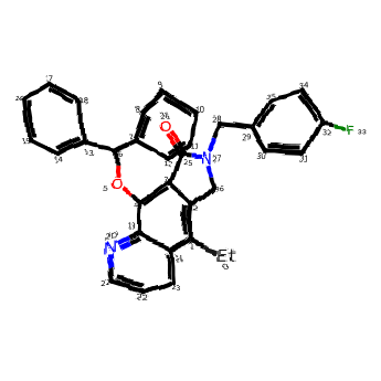 CCc1c2c(c(OC(c3ccccc3)c3ccccc3)c3ncccc13)C(=O)N(Cc1ccc(F)cc1)C2